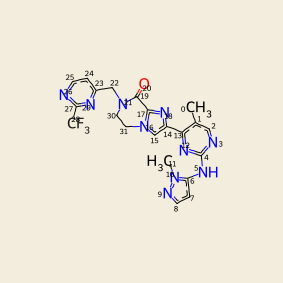 Cc1cnc(Nc2ccnn2C)nc1-c1cn2c(n1)C(=O)N(Cc1ccnc(C(F)(F)F)n1)CC2